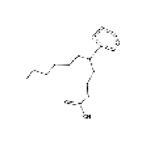 CCCCCCC(CCOC(=O)O)c1ccccc1